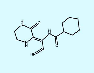 N=C/C(NC(=O)C1CCCCC1)=C1\NCCNC1=O